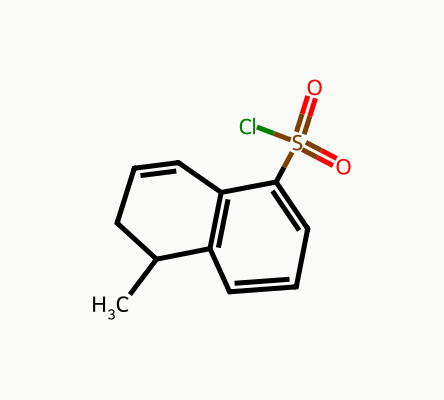 CC1CC=Cc2c1cccc2S(=O)(=O)Cl